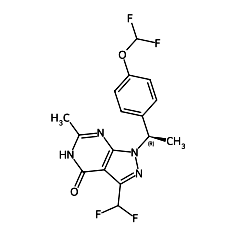 Cc1nc2c(c(C(F)F)nn2[C@H](C)c2ccc(OC(F)F)cc2)c(=O)[nH]1